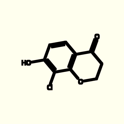 O=C1CCOc2c1ccc(O)c2Cl